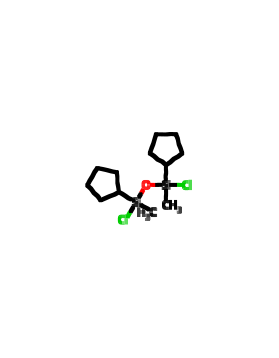 C[Si](Cl)(O[Si](C)(Cl)C1CCCC1)C1CCCC1